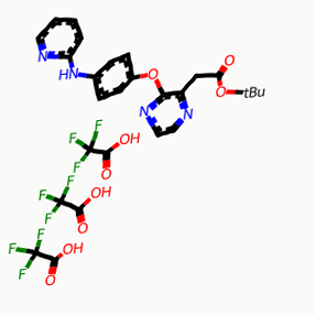 CC(C)(C)OC(=O)Cc1nccnc1Oc1ccc(Nc2ccccn2)cc1.O=C(O)C(F)(F)F.O=C(O)C(F)(F)F.O=C(O)C(F)(F)F